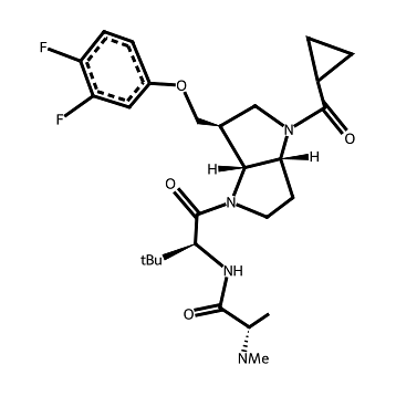 CN[C@@H](C)C(=O)N[C@H](C(=O)N1CC[C@@H]2[C@H]1[C@@H](COc1ccc(F)c(F)c1)CN2C(=O)C1CC1)C(C)(C)C